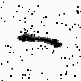 C[N+](C)(C)C/C(O)=[P+](\[O-])CCCCCCCCCCCCCCCCCCc1ccc(I)cc1